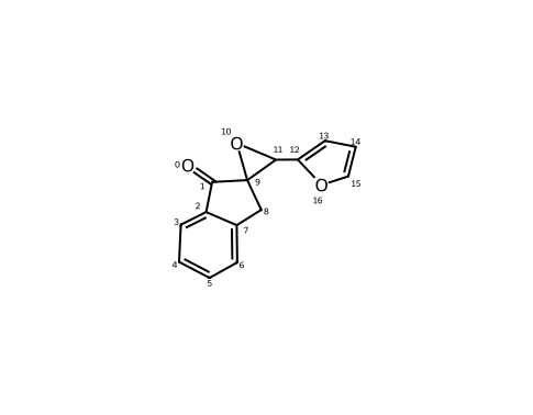 O=C1c2ccccc2CC12OC2c1ccco1